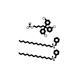 CCCCCCCCCCCCCCCC[N+](C)(C)Cc1ccccc1.CCCCCCCCCCCCCCCC[N+](C)(C)Cc1ccccc1.[O-]B([O-])OCCCCCC(c1cccc(Cl)c1)(c1cccc(Cl)c1)c1cccc(Cl)c1